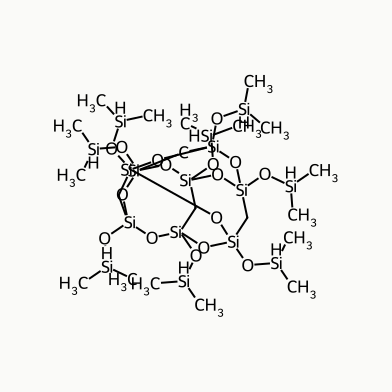 C[SiH](C)O[Si]12C[Si]3(O[SiH](C)C)O[Si]4(O[SiH](C)C)C[Si]5(O[SiH](C)C)O[Si](O[SiH](C)C)(C[Si](O[SiH](C)C)(O1)O4)O[Si](O[SiH](C)C)(C[Si](O[SiH](C)C)(O3)O5)O2